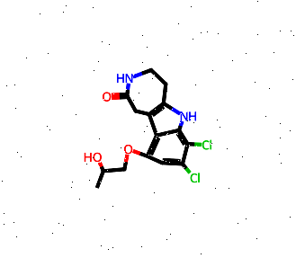 CC(O)COc1cc(Cl)c(Cl)c2[nH]c3c(c12)CC(=O)NCC3